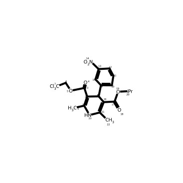 CC1=C(C(=O)OCC(Cl)(Cl)Cl)C(c2cccc([N+](=O)[O-])c2)C(C(=O)OC(C)C)=C(C)N1